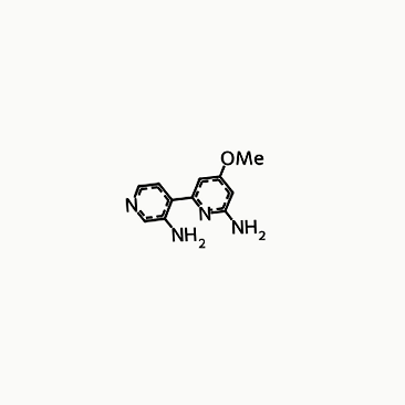 COc1cc(N)nc(-c2ccncc2N)c1